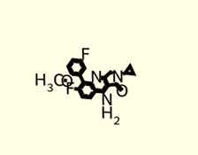 COc1ccc(F)cc1-c1c(F)ccc2c(N)c3c(nc12)CN(C1CC1)C3=O